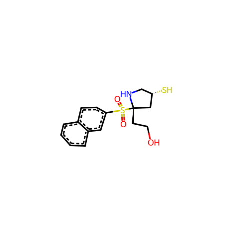 O=S(=O)(c1ccc2ccccc2c1)[C@@]1(CCO)C[C@@H](S)CN1